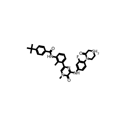 Cc1c(NC(=O)c2ccc(C(C)(C)C)cc2)cccc1-c1cn(C)c(=O)c(Nc2ccc(N3CC[SH2]CC3=O)c(F)c2)n1